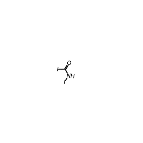 O=C(I)NI